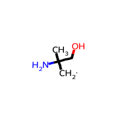 [CH2]C(C)(N)CO